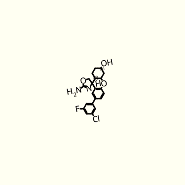 NC1=NC2(CO1)c1cc(-c3cc(F)cc(Cl)c3)ccc1OC1C[C@@H](O)CC[C@@H]12